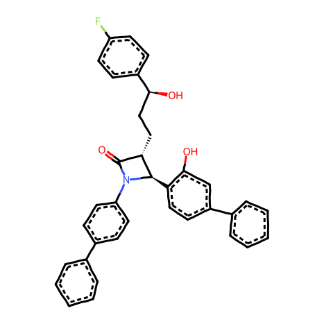 O=C1[C@H](CC[C@H](O)c2ccc(F)cc2)[C@@H](c2ccc(-c3ccccc3)cc2O)N1c1ccc(-c2ccccc2)cc1